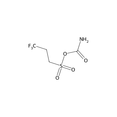 NC(=O)OS(=O)(=O)CCC(F)(F)F